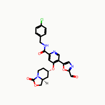 O=Cc1ncc(-c2cnc(C(=O)NCc3ccc(Cl)cc3)cc2O[C@H]2CCN3C(=O)OC[C@@H]3C2)o1